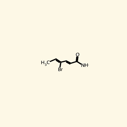 CC=C(Br)C=CC([NH])=O